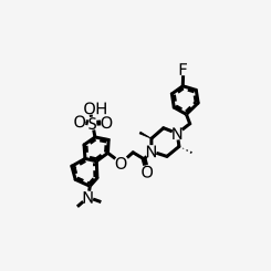 C[C@@H]1CN(C(=O)COc2cc(S(=O)(=O)O)cc3ccc(N(C)C)cc23)[C@@H](C)CN1Cc1ccc(F)cc1